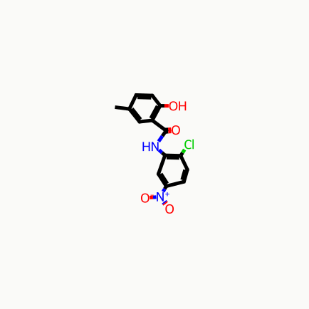 Cc1ccc(O)c(C(=O)Nc2cc([N+](=O)[O-])ccc2Cl)c1